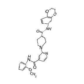 COc1ccccc1NC(=O)c1ccnc(N2CCC(C(=O)Nc3ccc4c(c3)OCCO4)CC2)c1